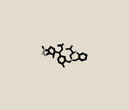 C=C(C)CC(c1ccc(C)c(CN2Cc3ccccc3OC(C(C)C)C2)c1)c1ccc2c(nnn2C)c1C